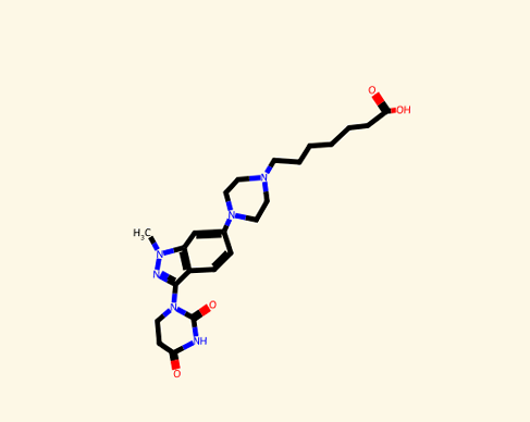 Cn1nc(N2CCC(=O)NC2=O)c2ccc(N3CCN(CCCCCCC(=O)O)CC3)cc21